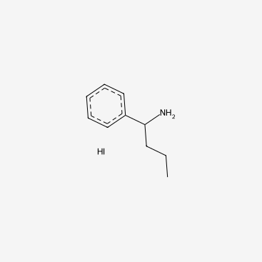 CCCC(N)c1ccccc1.I